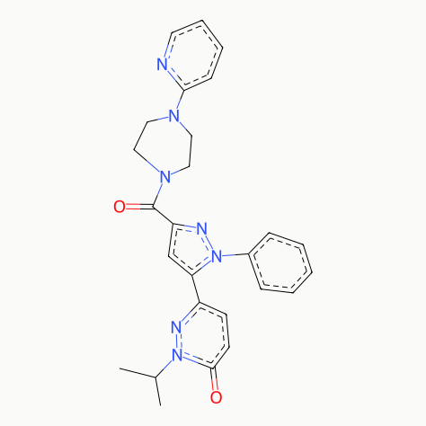 CC(C)n1nc(-c2cc(C(=O)N3CCN(c4ccccn4)CC3)nn2-c2ccccc2)ccc1=O